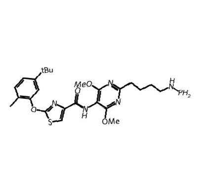 COc1nc(CCCCNP)nc(OC)c1NC(=O)c1csc(Oc2cc(C(C)(C)C)ccc2C)n1